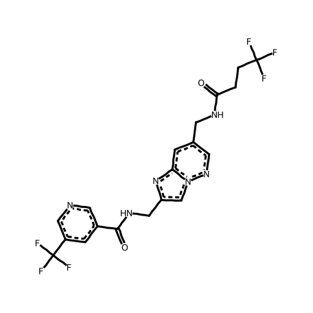 O=C(CCC(F)(F)F)NCc1cnn2cc(CNC(=O)c3cncc(C(F)(F)F)c3)nc2c1